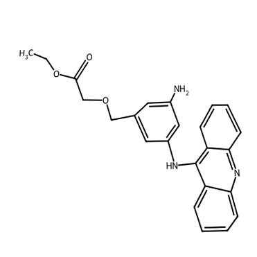 CCOC(=O)COCc1cc(N)cc(Nc2c3ccccc3nc3ccccc23)c1